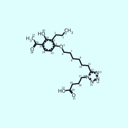 CCCc1c(OCCCCCCc2nnnn2CCCC(=O)O)ccc(C(C)=O)c1O